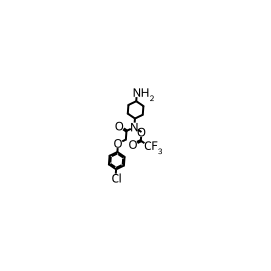 NC1CCC(N(OC(=O)C(F)(F)F)C(=O)COc2ccc(Cl)cc2)CC1